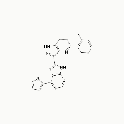 Cc1ccncc1-c1ccc2[nH]nc(-c3nc4c(-c5cccs5)nccc4[nH]3)c2n1